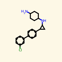 NC1CCC(NC2CC2c2ccc(-c3cccc(Cl)c3)cc2)CC1